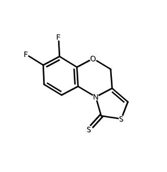 Fc1ccc2c(c1F)OCc1csc(=S)n1-2